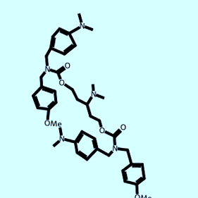 COc1ccc(CN(Cc2ccc(N(C)C)cc2)C(=O)OCCC(CCOC(=O)N(Cc2ccc(OC)cc2)Cc2ccc(N(C)C)cc2)N(C)C)cc1